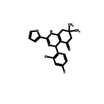 CC1(C)CC(=O)C2=C(C1)NC(c1ccco1)=NC2c1ccc(F)cc1Cl